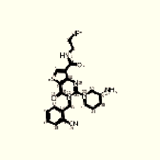 CC(C)CCNC(=O)c1csc2c(=O)n(Cc3ccccc3C#N)c(N3CCC[C@@H](N)C3)nc12